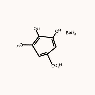 O=C(O)c1cc(O)c(O)c(O)c1.[BeH2]